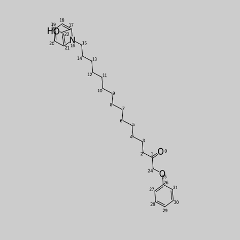 O=C(CCCCCCCCCCCCCCN1C2=CC=CC1=C2O)COc1ccccc1